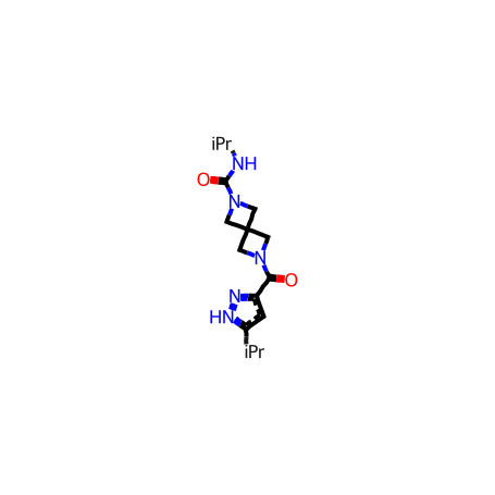 CC(C)NC(=O)N1CC2(C1)CN(C(=O)c1cc(C(C)C)[nH]n1)C2